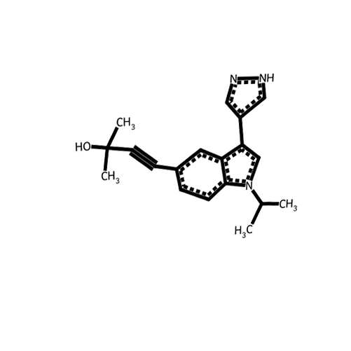 CC(C)n1cc(-c2cn[nH]c2)c2cc(C#CC(C)(C)O)ccc21